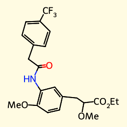 CCOC(=O)C(Cc1ccc(OC)c(NC(=O)Cc2ccc(C(F)(F)F)cc2)c1)OC